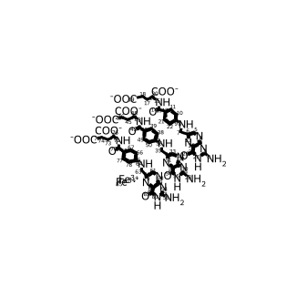 Nc1nc2ncc(CNc3ccc(C(=O)NC(CCC(=O)[O-])C(=O)[O-])cc3)nc2c(=O)[nH]1.Nc1nc2ncc(CNc3ccc(C(=O)NC(CCC(=O)[O-])C(=O)[O-])cc3)nc2c(=O)[nH]1.Nc1nc2ncc(CNc3ccc(C(=O)NC(CCC(=O)[O-])C(=O)[O-])cc3)nc2c(=O)[nH]1.[Fe+3].[Fe+3]